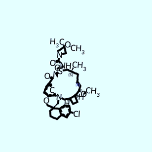 CO[C@H]1/C=C/C[C@H](C)CS(=O)(NC(=O)N2CC(C)(OC)C2)=NC(=O)c2ccc3c(c2)N(C[C@@H]2CC[C@H]21)C[C@@]1(CCCc2cc(Cl)ccc21)CO3